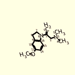 C=C(CN(C)C)N1CCc2cc(OC)ccc21